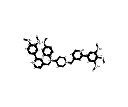 COc1ccc(N(Cc2ccnc(-c3ccc(OC)c(OC)c3)c2)C2CCN(Cc3ccnc(-c4cc(OC)c(OC)c(OC)c4)c3)CC2)cc1